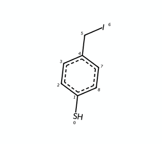 Sc1ccc(CI)cc1